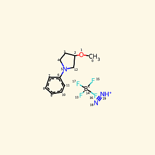 COC1CCN(c2ccccc2)C1.F[B-](F)(F)F.N#[NH+]